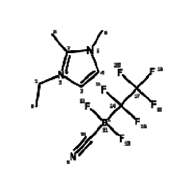 CC[n+]1ccn(C)c1C.N#C[B-](F)(F)C(F)(F)C(F)(F)F